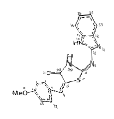 COc1ccc(/C=C2/S/C(=N/c3nc4ccccc4[nH]3)NC2=O)cc1